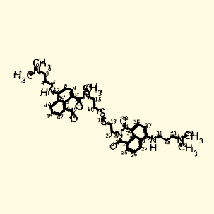 CN(C)CCCNc1ccc(C(=O)N(C)CCSSCCN2C(=O)c3cccc4c(NCCCN(C)C)ccc(c34)C2=O)c2c(C=O)cccc12